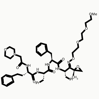 COCCOCCOCCO/N=C(/[C@H](CC(C)C)NC(=O)[C@H](Cc1ccccc1)NC(=O)[C@H](CC(C)C)NC(=O)[C@H](CCc1ccccc1)NC(=O)CN1CCOCC1)[C@@]1(C)CO1